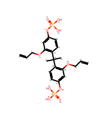 C=CCOc1cc(OP(=O)(O)O)ccc1C(C)(C)c1ccc(OP(=O)(O)O)cc1OCC=C